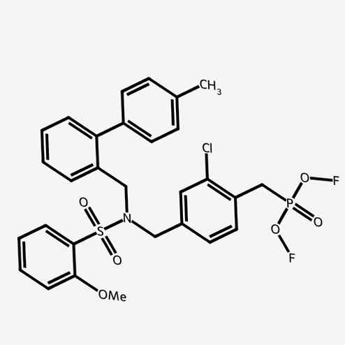 COc1ccccc1S(=O)(=O)N(Cc1ccc(CP(=O)(OF)OF)c(Cl)c1)Cc1ccccc1-c1ccc(C)cc1